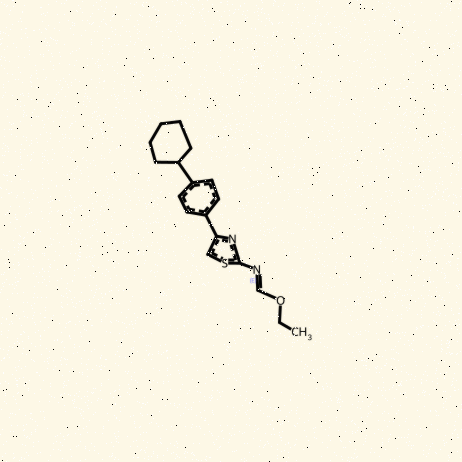 CCO/C=N/c1nc(-c2ccc(C3CCCCC3)cc2)cs1